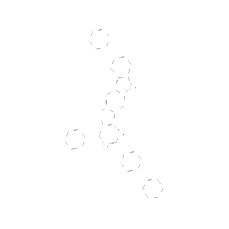 c1ccc(-c2ccc(-c3nc(-c4ccccc4)c4sc5cc6c(cc5c4n3)[nH]c3ccc(-c4ccccc4)cc36)cc2)cc1